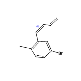 C=C/C=C\c1cc(Br)ccc1C